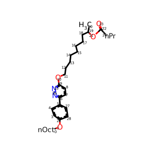 CCCCCCCCOc1ccc(-c2ccc(OCCCCCCCCC(C)OC(=O)CCC)nn2)cc1